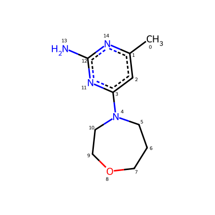 Cc1cc(N2CCCOCC2)nc(N)n1